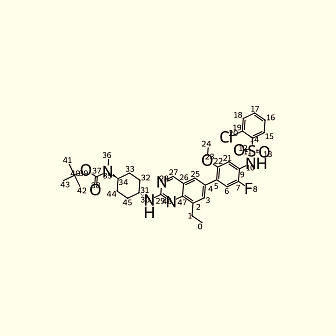 CCc1cc(-c2cc(F)c(NS(=O)(=O)c3ccccc3Cl)cc2OC)cc2cnc(N[C@H]3CC[C@H](N(C)C(=O)OC(C)(C)C)CC3)nc12